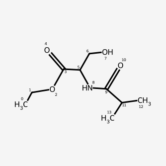 CCOC(=O)C(CO)NC(=O)C(C)C